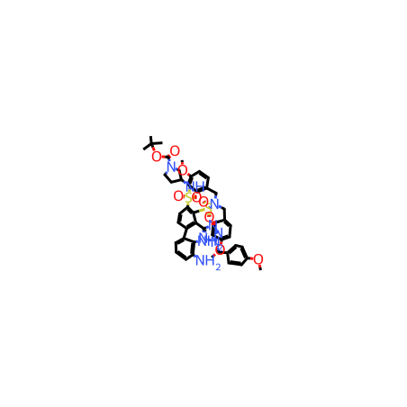 COc1ccc(CN(Cc2ccc(OC)cc2)S(=O)(=O)c2c(S(=O)(=O)NC3CCN(C(=O)OC(C)(C)C)C3)ccc(-c3cccc(N)c3N)c2-c2nnn(Cc3ccc(OC)cc3)n2)cc1